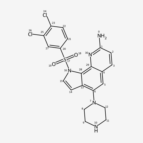 Nc1ccc2cc(N3CCNCC3)c3ccn(S(=O)(=O)c4ccc(Cl)c(Cl)c4)c3c2n1